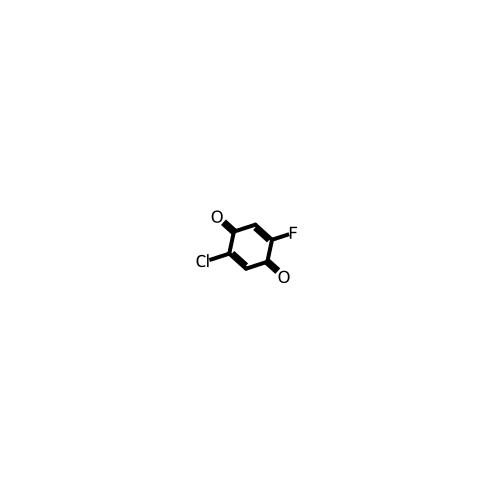 O=C1C=C(Cl)C(=O)C=C1F